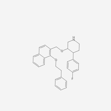 Fc1ccc(C2CCNCC2OCc2ccc3ccccc3c2OCCc2ccccc2)cc1